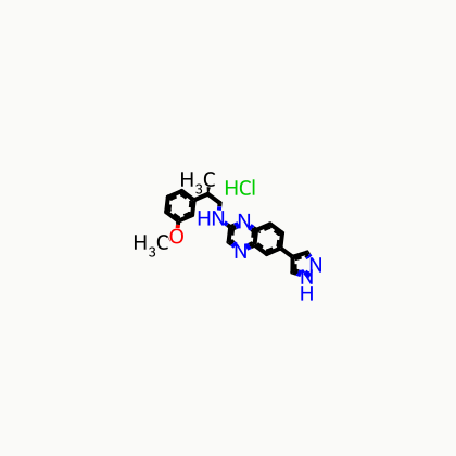 COc1cccc([C@@H](C)CNc2cnc3cc(-c4cn[nH]c4)ccc3n2)c1.Cl